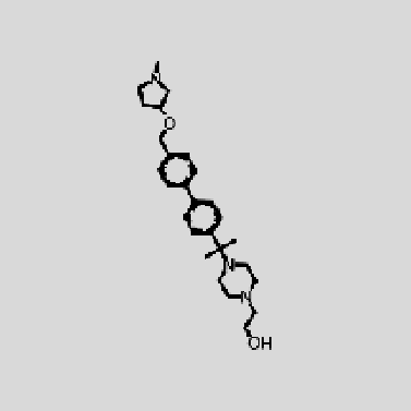 CN1CC[C@@H](OCc2ccc(-c3ccc(C(C)(C)N4CCN(CCO)CC4)cc3)cc2)C1